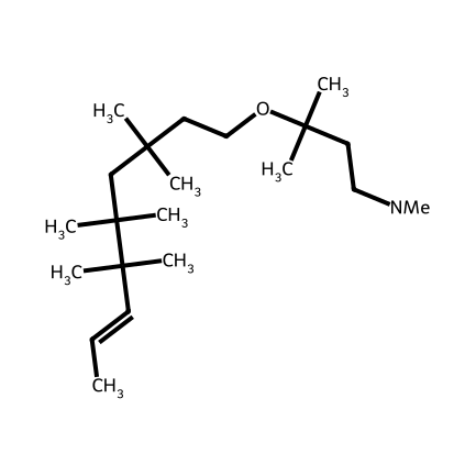 C/C=C/C(C)(C)C(C)(C)CC(C)(C)CCOC(C)(C)CCNC